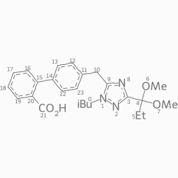 CCC(C)n1nc(C(CC)(OC)OC)nc1Cc1ccc(-c2ccccc2C(=O)O)cc1